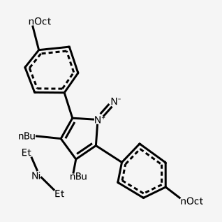 CCCCCCCCc1ccc(C2=C(CCCC)C(CCCC)=C(c3ccc(CCCCCCCC)cc3)[N+]2=[N-])cc1.C[CH2][Ni][CH2]C